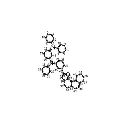 c1ccc(N(c2ccccc2)c2cccc(N(c3ccccc3)c3cccc(-c4nc5ccc6ccc7ccccc7c6c5o4)c3)c2)cc1